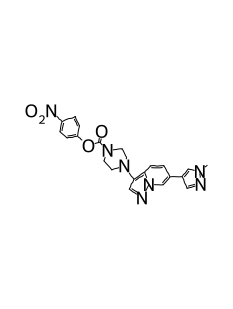 Cn1cc(-c2ccc3c(N4CCN(C(=O)Oc5ccc([N+](=O)[O-])cc5)CC4)cnn3c2)cn1